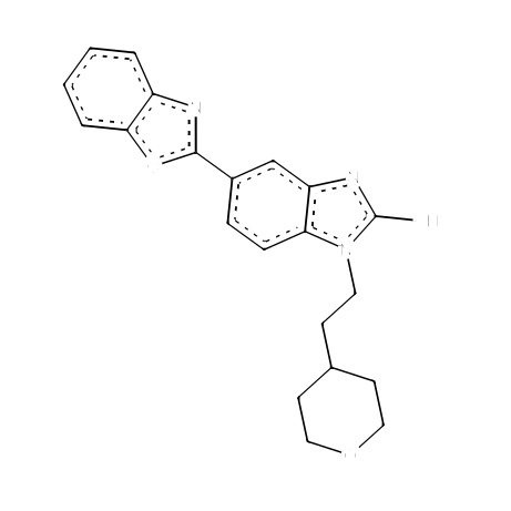 Cc1nc2cc(-c3nc4ccccc4o3)ccc2n1CCC1CCOCC1